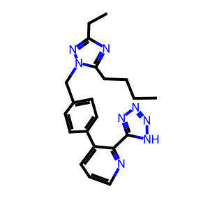 CCCCc1nc(CC)nn1Cc1ccc(-c2cccnc2-c2nnn[nH]2)cc1